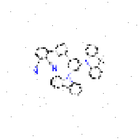 CC1(C)c2ccccc2N(c2cc(-c3cccc(-c4cccc(C#N)c4C#N)c3)cc(-n3c4ccccc4c4ccccc43)c2)c2ccccc21